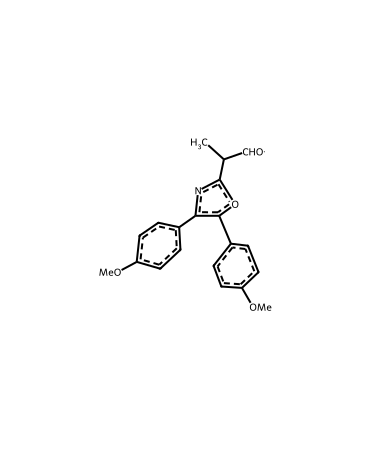 COc1ccc(-c2nc(C(C)[C]=O)oc2-c2ccc(OC)cc2)cc1